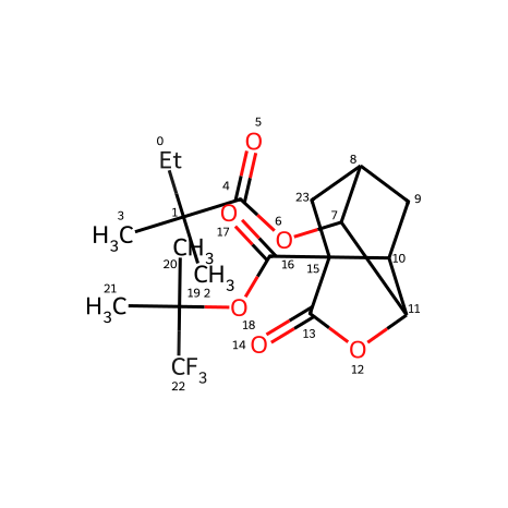 CCC(C)(C)C(=O)OC1C2CC3C1OC(=O)C3(C(=O)OC(C)(C)C(F)(F)F)C2